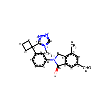 Cn1cnnc1C1(c2cccc(N3Cc4c(cc(C=O)cc4C(F)(F)F)C3=O)c2)CCC1